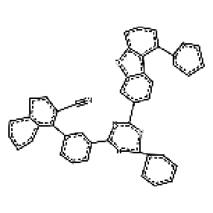 N#Cc1ccc2ccccc2c1-c1cccc(-c2nc(-c3ccccc3)nc(-c3ccc4c(c3)oc3cccc(-c5ccccc5)c34)n2)c1